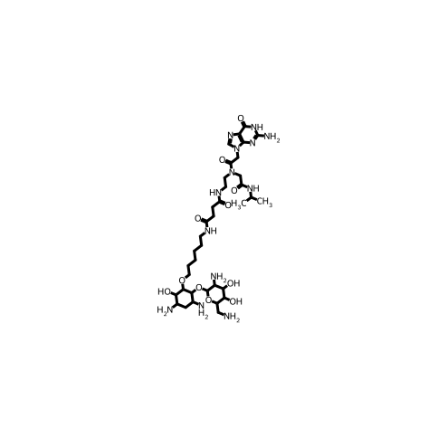 CC(C)NC(=O)CN(CCNC(=O)CCC(=O)NCCCCCCOC1C(O)C(N)CC(N)C1OC1OC(CN)C(O)C(O)C1N)C(=O)Cn1cnc2c(=O)[nH]c(N)nc21